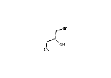 N#CC[C@@H](O)CBr